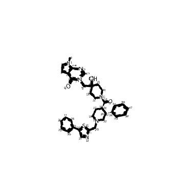 Cn1ccc2c(=O)n(CC3(O)CCN(C(=O)[C@@H]4CCN(Cc5ncc(-c6ccccc6)s5)C[C@H]4c4ccccc4)CC3)cnc21